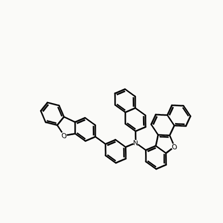 c1cc(-c2ccc3c(c2)oc2ccccc23)cc(N(c2ccc3ccccc3c2)c2cccc3oc4c5ccccc5ccc4c23)c1